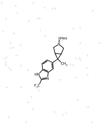 CCCCCCN1CC2C(C1)C2(C)c1ccc2[nH]c(C(F)(F)F)nc2c1